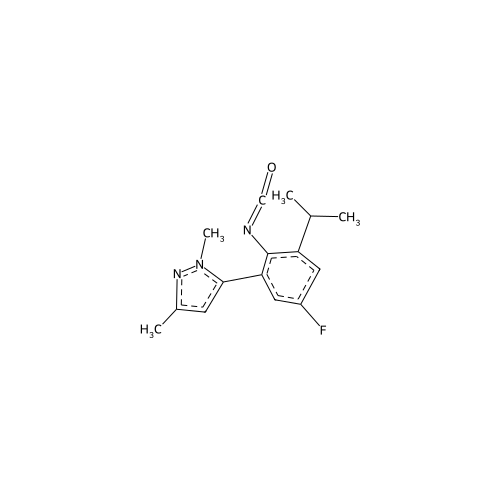 Cc1cc(-c2cc(F)cc(C(C)C)c2N=C=O)n(C)n1